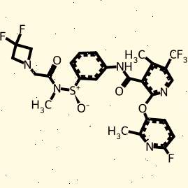 Cc1nc(F)ccc1Oc1ncc(C(F)(F)F)c(C)c1C(=O)Nc1cccc([S@@+]([O-])N(C)C(=O)CN2CC(F)(F)C2)c1